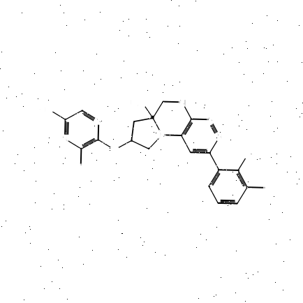 Cc1nc(C=O)cnc1OC1CN2c3cc(-c4cccc(F)c4O)nnc3NCC2(C)C1